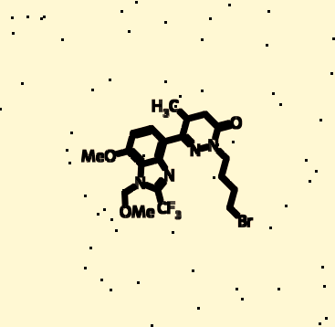 COCn1c(C(F)(F)F)nc2c(C3=NN(CCCCBr)C(=O)CC3C)ccc(OC)c21